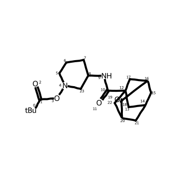 CC(C)(C)C(=O)ON1CCCC(NC(=O)C23CC4CC(C2)C(=O)C(C4)C3)C1